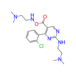 CN(C)CCNOC(=O)c1cnc(NCCN(C)C)nc1-c1ccccc1Cl